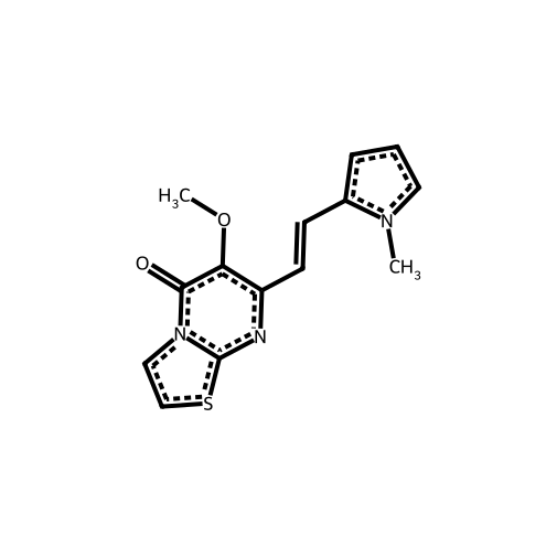 COc1c(/C=C/c2cccn2C)nc2sccn2c1=O